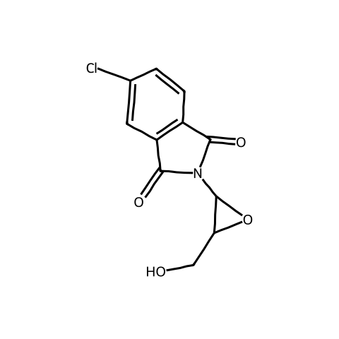 O=C1c2ccc(Cl)cc2C(=O)N1C1OC1CO